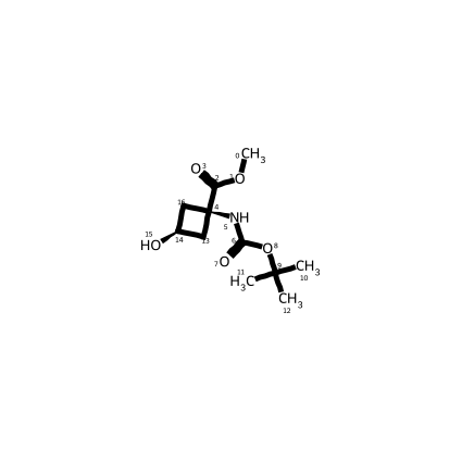 COC(=O)[C@]1(NC(=O)OC(C)(C)C)C[C@@H](O)C1